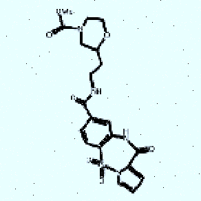 COC(=O)N1CCOC(CCNC(=O)c2ccc3c(c2)NC(=O)c2cccn2S3(=O)=O)C1